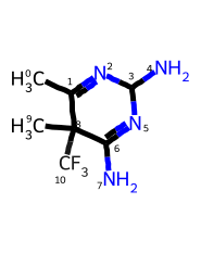 CC1=NC(N)N=C(N)C1(C)C(F)(F)F